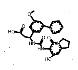 COc1cc(-c2ccccc2)cc(C(CC(=O)O)NC(=O)Nc2c(O)cc3n(c2=O)CCC3)c1